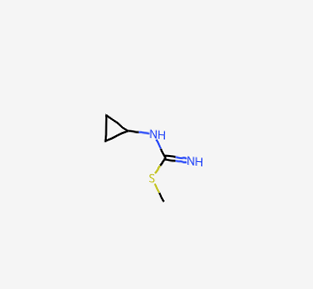 CSC(=N)NC1CC1